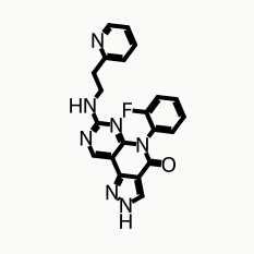 O=c1c2c[nH]nc2c2cnc(NCCc3ccccn3)nc2n1-c1ccccc1F